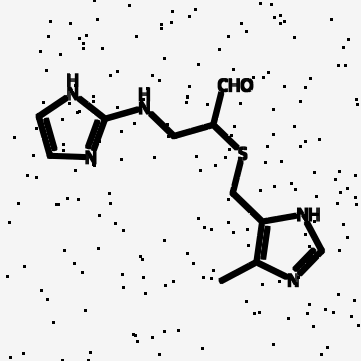 Cc1nc[nH]c1CSC(C=O)CNc1ncc[nH]1